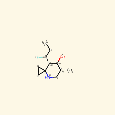 CCC(F)[C@@H]1[C@@H](O)[C@H](C)CNC12CC2